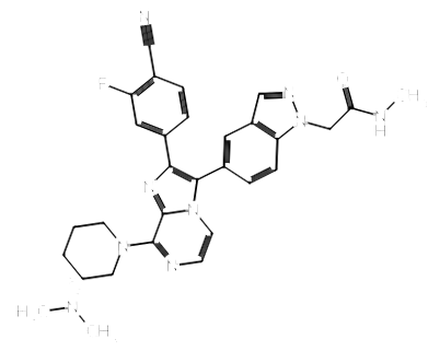 CNC(=O)Cn1ncc2cc(-c3c(-c4ccc(C#N)c(F)c4)nc4c(N5CCC[C@@H](N(C)C)C5)nccn34)ccc21